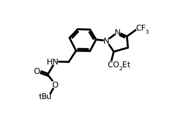 CCOC(=O)C1CC(C(F)(F)F)=NN1c1cccc(CNC(=O)OC(C)(C)C)c1